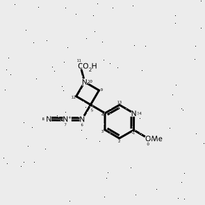 COc1ccc(C2(N=[N+]=[N-])CN(C(=O)O)C2)cn1